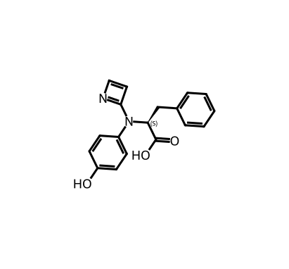 O=C(O)[C@H](Cc1ccccc1)N(C1=NC=C1)c1ccc(O)cc1